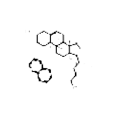 CC(C)CCC[C@@H](C)[C@H]1CC[C@H]2[C@@H]3CC=C4C[C@@H](O)CC[C@]4(C)[C@H]3CC[C@]12C.c1ccc2ncccc2c1